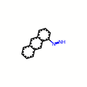 N=Nc1cccc2cc3ccccc3cc12